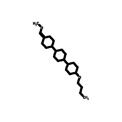 CCCCOC1CCC(C2CCC(C3CCC(=COC)CC3)CC2)CC1